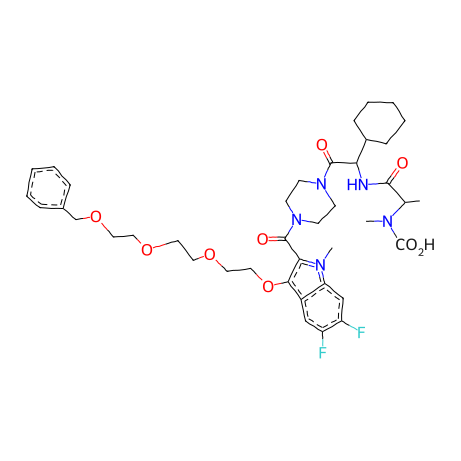 CC(C(=O)NC(C(=O)N1CCN(C(=O)c2c(OCCOCCOCCOCc3ccccc3)c3cc(F)c(F)cc3n2C)CC1)C1CCCCC1)N(C)C(=O)O